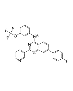 Fc1ccc(-c2ccc3c(Nc4cccc(OC(F)(F)F)c4)nc(-c4cccnc4)nc3c2)cc1